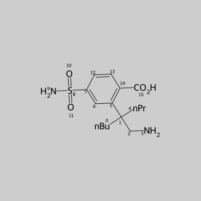 CCCCC(CN)(CCC)c1cc(S(N)(=O)=O)ccc1C(=O)O